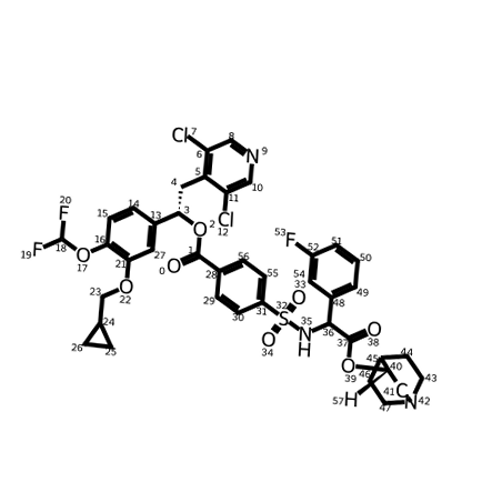 O=C(O[C@@H](Cc1c(Cl)cncc1Cl)c1ccc(OC(F)F)c(OCC2CC2)c1)c1ccc(S(=O)(=O)NC(C(=O)O[C@H]2CN3CCC2CC3)c2cccc(F)c2)cc1